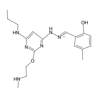 CCCNc1cc(N/N=C/c2cc(C)ccc2O)nc(OCCNC)n1